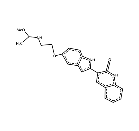 COC(C)NCCOc1ccc2[nH]c(-c3cc4ccccc4[nH]c3=O)cc2c1